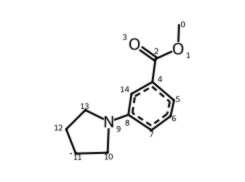 COC(=O)c1cccc(N2C[CH]CC2)c1